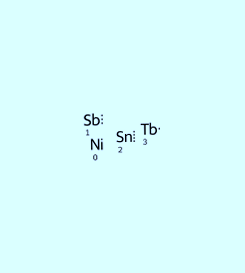 [Ni].[Sb].[Sn].[Tb]